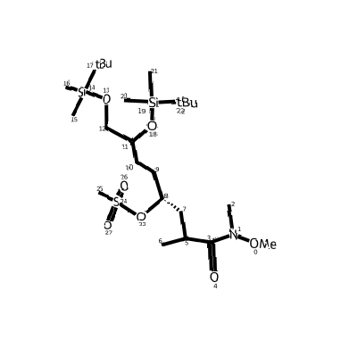 CON(C)C(=O)C(C)C[C@@H](CCC(CO[Si](C)(C)C(C)(C)C)O[Si](C)(C)C(C)(C)C)OS(C)(=O)=O